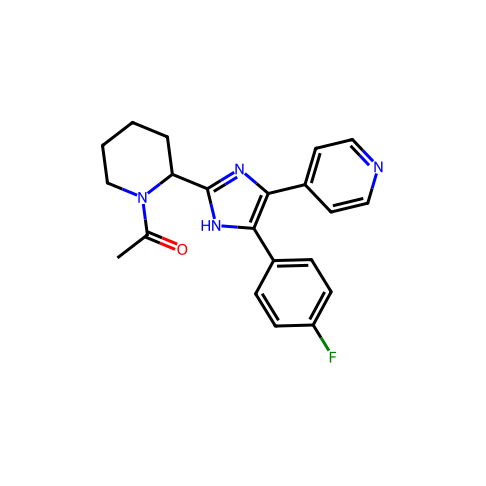 CC(=O)N1CCCCC1c1nc(-c2ccncc2)c(-c2ccc(F)cc2)[nH]1